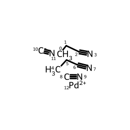 CCC#N.CCC#N.[C-]#N.[C-]#N.[Pd+2]